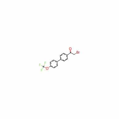 O=C(CBr)c1ccc(-c2ccc(OC(F)(F)F)cc2)cc1